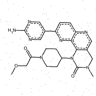 COCC(=O)N1CCC(N2C(=O)N(C)Cc3cnc4ccc(-c5cnc(N)nc5)nc4c32)CC1